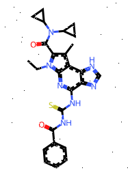 CCn1c(C(=O)N(C2CC2)C2CC2)c(C)c2c3[nH]cnc3c(NC(=S)NC(=O)c3ccccc3)nc21